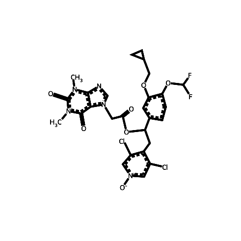 Cn1c(=O)c2c(ncn2CC(=O)OC(Cc2c(Cl)c[n+]([O-])cc2Cl)c2ccc(OC(F)F)c(OCC3CC3)c2)n(C)c1=O